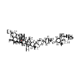 CCOc1cc(N2CCC(N3CCN(CCc4cc(F)c(C5CCC(=O)NC5=O)c(F)c4)CC3)CC2)c(CC)cc1Nc1nccc(Nc2cc(F)c3nc(CC)ccc3c2P(C)(C)=O)n1